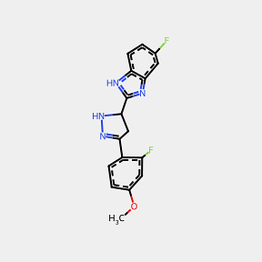 COc1ccc(C2=NNC(c3nc4cc(F)ccc4[nH]3)C2)c(F)c1